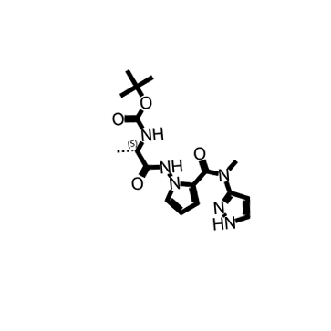 C[C@H](NC(=O)OC(C)(C)C)C(=O)Nn1cccc1C(=O)N(C)c1cc[nH]n1